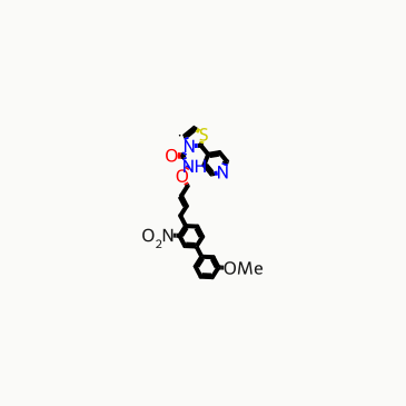 COc1cccc(-c2ccc(CC=CCONC(=O)N3[C]=CSC3c3ccncc3)c([N+](=O)[O-])c2)c1